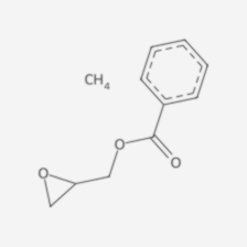 C.O=C(OCC1CO1)c1ccccc1